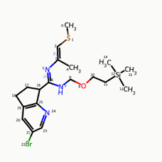 CS/C=C(C)/N=C(\NCOCC[Si](C)(C)C)C1CCc2cc(Br)cnc21